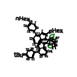 CCCCCCC1=Cc2c(-c3ccc(CCCCCC)cc3)cccc2[CH]1[Zr]([Cl])([Cl])([CH]1C=Cc2c(-c3ccc(C(C)(C)C)cc3)cccc21)[SiH](C)C